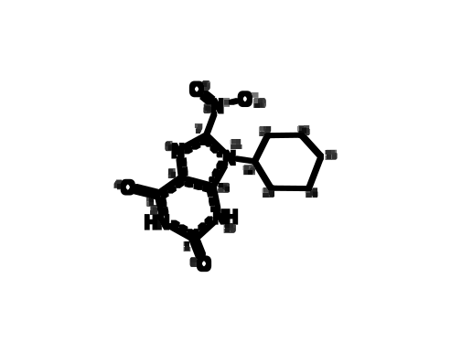 O=c1[nH]c(=O)c2nc([N+](=O)[O-])n(C3CCCCC3)c2[nH]1